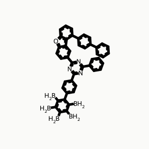 Bc1c(B)c(B)c(-c2ccc(-c3nc(-c4ccccc4)nc(-c4ccc5oc6cccc(-c7ccc(-c8ccccc8)cc7)c6c5c4)n3)cc2)c(B)c1B